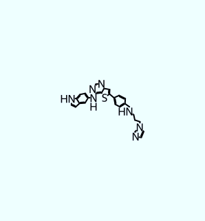 c1cn(CCCNCc2ccc(-c3cc4ncnc(Nc5ccc6[nH]ccc6c5)c4s3)cc2)cn1